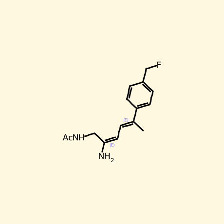 CC(=O)NC/C(N)=C\C=C(/C)c1ccc(CF)cc1